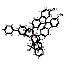 CC(C)(C)c1ccc2c(c1)C1(c3cc(N(c4ccccc4)c4ccccc4)ccc3-2)c2cc(N(c3ccc(-c4ccccc4)cc3)c3ccc4c(c3)C(C)(C)c3ccccc3-4)ccc2-c2ccc(C(C)(C)C)cc21